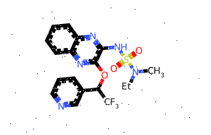 CCN(C)S(=O)(=O)Nc1nc2ccccc2nc1OC(c1cccnc1)C(F)(F)F